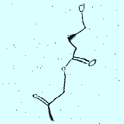 CC(=O)COC(=O)CCCl